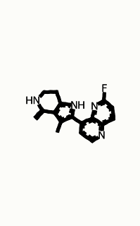 C=C1NCCc2[nH]c(-c3ccnc4ccc(F)nc34)c(C)c21